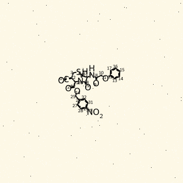 O=C=C1CS[C@@H]2C(NC(=O)COc3ccccc3)C(=O)N2C1C(=O)OCc1ccc([N+](=O)[O-])cc1